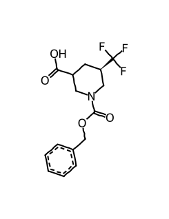 O=C(O)C1C[C@@H](C(F)(F)F)CN(C(=O)OCc2ccccc2)C1